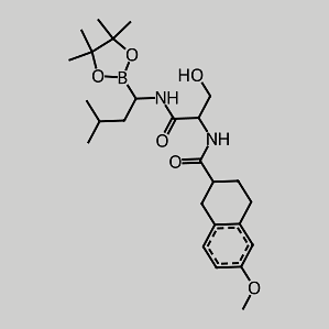 COc1ccc2c(c1)CCC(C(=O)NC(CO)C(=O)NC(CC(C)C)B1OC(C)(C)C(C)(C)O1)C2